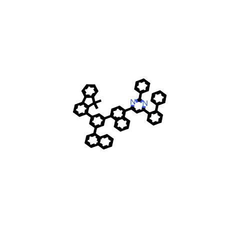 CC1(C)c2ccccc2-c2cccc(-c3cc(-c4cccc5ccccc45)cc(-c4ccc(-c5cc(-c6ccccc6-c6ccccc6)nc(-c6ccccc6)n5)c5ccccc45)c3)c21